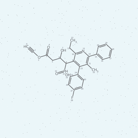 C#COC(=O)CC(O)C(c1c(CC)nc(-c2ccccc2)c(C)c1-c1ccc(F)cc1)[PH](=O)O